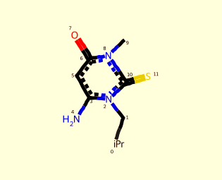 CC(C)Cn1c(N)cc(=O)n(C)c1=S